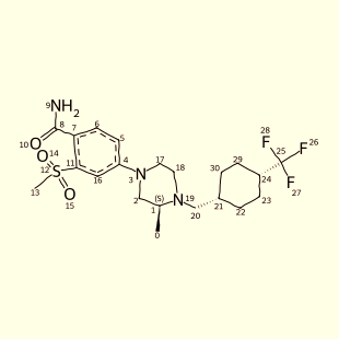 C[C@H]1CN(c2ccc(C(N)=O)c(S(C)(=O)=O)c2)CCN1C[C@H]1CC[C@@H](C(F)(F)F)CC1